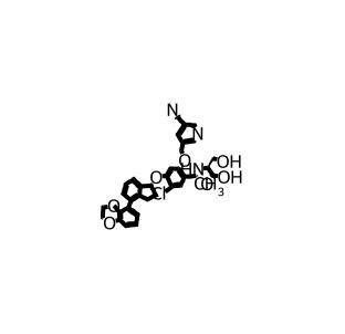 CC(N[C@@H](CO)C(=O)O)c1cc(Cl)c(O[C@H]2CCc3c(-c4cccc5c4OCCO5)cccc32)cc1OCc1cncc(C#N)c1